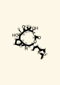 C/C(=C\c1csc(C)n1)[C@@H]1C[C@@H]2C[C@@]23CCCC3[C@H](O)[C@@H](C)C(=O)C(C)(C)[C@@H](O)CC(=O)O1